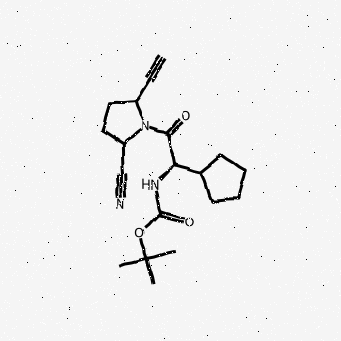 C#CC1CCC(C#N)N1C(=O)[C@H](NC(=O)OC(C)(C)C)C1CCCC1